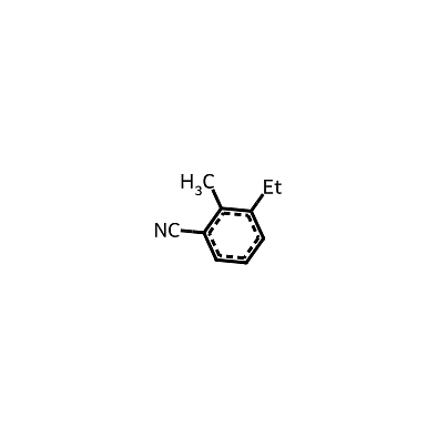 CCc1cccc(C#N)c1C